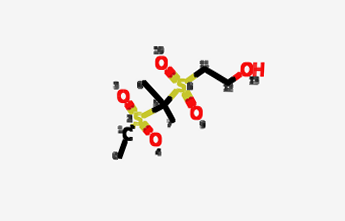 CCS(=O)(=O)C(C)(C)S(=O)(=O)CCO